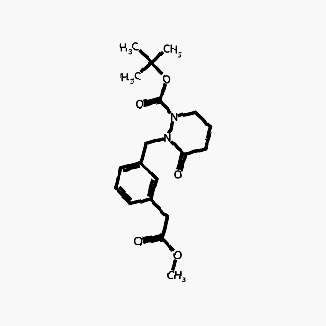 COC(=O)Cc1cccc(CN2C(=O)CCCN2C(=O)OC(C)(C)C)c1